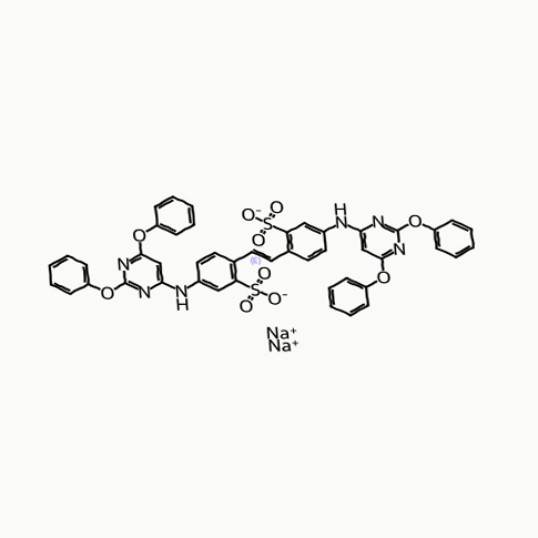 O=S(=O)([O-])c1cc(Nc2cc(Oc3ccccc3)nc(Oc3ccccc3)n2)ccc1/C=C/c1ccc(Nc2cc(Oc3ccccc3)nc(Oc3ccccc3)n2)cc1S(=O)(=O)[O-].[Na+].[Na+]